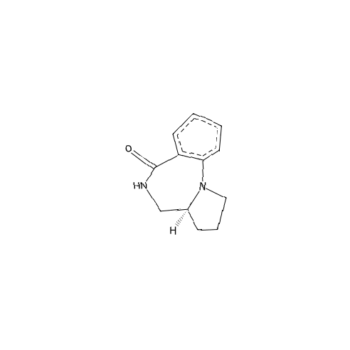 O=C1NC[C@@H]2CCCN2c2ccccc21